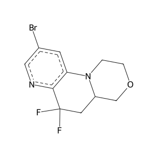 FC1(F)CC2COCCN2c2cc(Br)cnc21